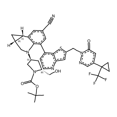 CC(C)(C)OC(=O)N1C[C@@H](N2C[C@@H]3C[C@@H]3c3cc(C#N)cc(-c4ccnc5cc(Cn6ncc(C7(C(F)(F)F)CC7)cc6=O)sc45)c32)C[C@@H]1CO